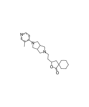 Cc1cnccc1N1CC2CN(CCC3CC4(CCCCC4)C(=O)O3)CC2C1